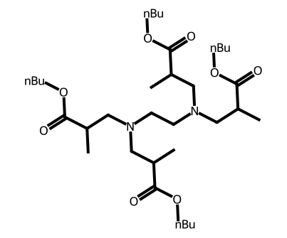 CCCCOC(=O)C(C)CN(CCN(CC(C)C(=O)OCCCC)CC(C)C(=O)OCCCC)CC(C)C(=O)OCCCC